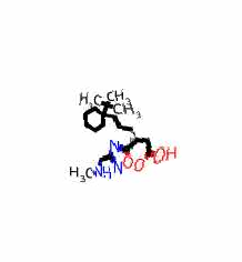 CNCc1noc([C@H](CCCC2(C(C)(C)C)CCCCC2)CC(=O)O)n1